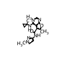 Cc1oc2ncnc(NC3(C)CC3)c2c1C(=O)Nc1ccn(C)n1